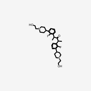 CC(C(=O)C(C)c1cccc(C2CCN(CCO)CC2)c1F)c1cccc(C2CCN(CCO)CC2)c1F